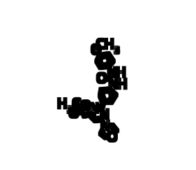 COc1ccc(NC(=O)Nc2ccc(-c3nc(CS(C)(=O)=O)cc(N4CCOCC4)n3)cc2)cc1